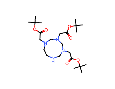 CC(C)(C)OC(=O)CN1CCNCN(CC(=O)OC(C)(C)C)CN(CC(=O)OC(C)(C)C)C1